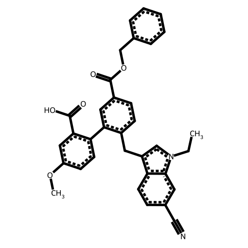 CCn1cc(Cc2ccc(C(=O)OCc3ccccc3)cc2-c2ccc(OC)cc2C(=O)O)c2ccc(C#N)cc21